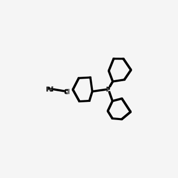 C1CCC(P(C2CCCCC2)C2CCCCC2)CC1.[Cl][Pd]